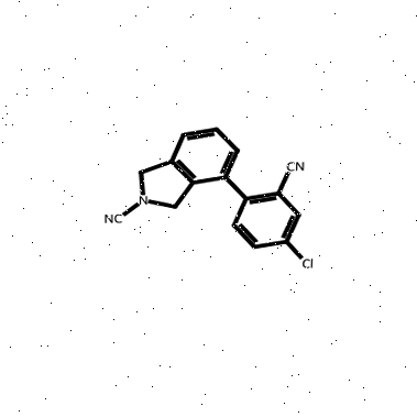 N#Cc1cc(Cl)ccc1-c1cccc2c1CN(C#N)C2